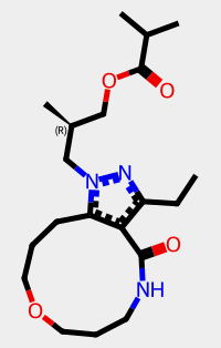 CCc1nn(C[C@@H](C)COC(=O)C(C)C)c2c1C(=O)NCCCOCCC2